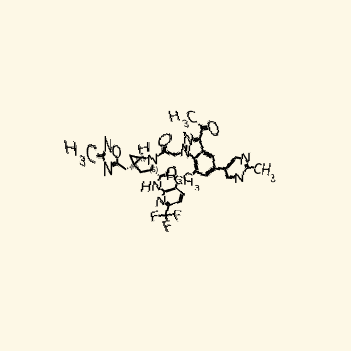 CC(=O)c1nn(CC(=O)N2[C@H](C(=O)Nc3nc(C(F)(F)F)ccc3C)C[C@@]3(Cc4nc(C)no4)C[C@@H]23)c2c(C)cc(-c3cnc(C)nc3)cc12